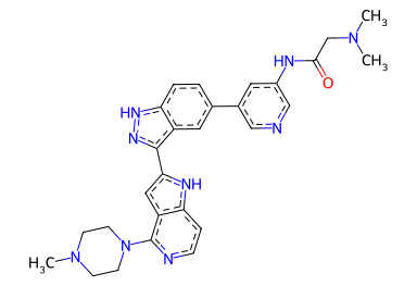 CN(C)CC(=O)Nc1cncc(-c2ccc3[nH]nc(-c4cc5c(N6CCN(C)CC6)nccc5[nH]4)c3c2)c1